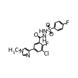 Cn1cnc(-c2cc(Cl)c(F)c(C(=O)NNS(=O)(=O)c3ccc(F)cc3)c2)c1